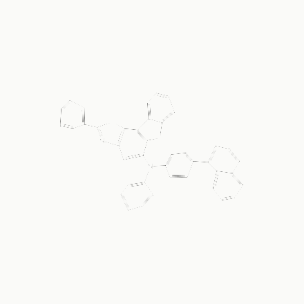 c1ccc(-c2nc3cc(N(c4ccccc4)c4ccc(-c5cccc6ccccc56)cc4)c4oc5ccccc5c4c3o2)cc1